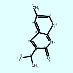 Cc1c[nH]c2nc(=O)c(C(C)C)cc-2c1